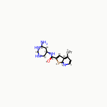 CCCc1ccnc2sc(C(=O)NC3CNCNC(N)C3)cc12